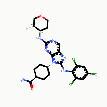 NC(=O)[C@H]1CC[C@H](n2c(Nc3c(Cl)cc(Cl)cc3Cl)nc3cnc(N[C@@H]4CCOC[C@H]4F)nc32)CC1